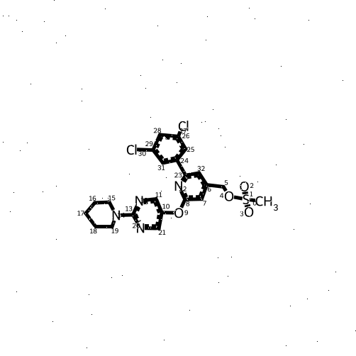 CS(=O)(=O)OCc1cc(Oc2cnc(N3CCCCC3)nc2)nc(-c2cc(Cl)cc(Cl)c2)c1